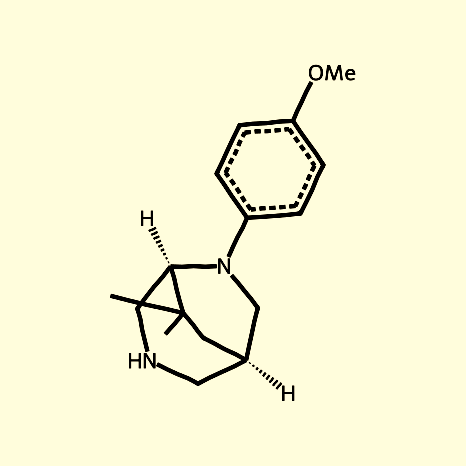 COc1ccc(N2C[C@H]3CNC[C@@H]2C(C)(C)C3)cc1